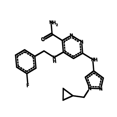 NC(=O)c1nnc(Nc2cnn(CC3CC3)c2)cc1NCc1cccc(F)c1